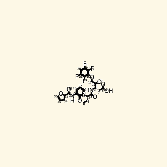 CC[C@@H](C(=O)N[C@@H](CC(=O)O)C(=O)COc1c(F)c(F)cc(F)c1F)n1cccc(NC(=O)C2CC=CO2)c1=O